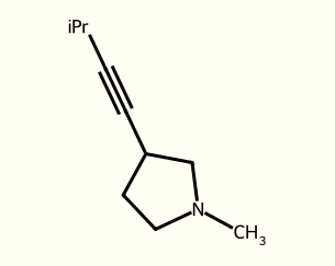 CC(C)C#CC1CCN(C)C1